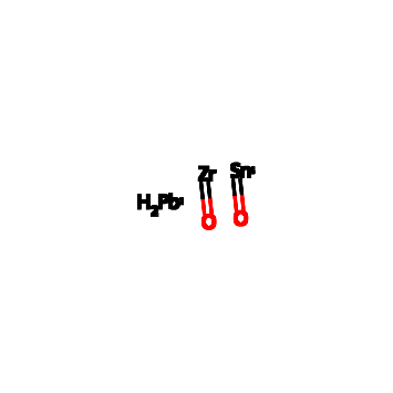 [O]=[Sn].[O]=[Zr].[PbH2]